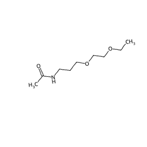 CCOCCOCCCNC(C)=O